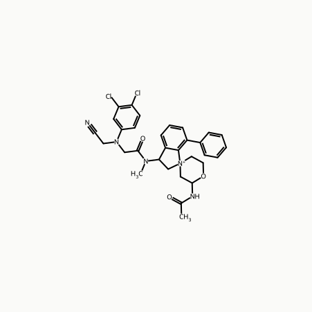 CC(=O)NC1C[N+]2(CCO1)CC(N(C)C(=O)CN(CC#N)c1ccc(Cl)c(Cl)c1)c1cccc(-c3ccccc3)c12